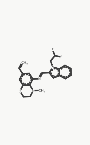 C=Cc1cc(/N=C/c2cc3ccccc3n2CC(F)F)c2c(c1)OCCN2C